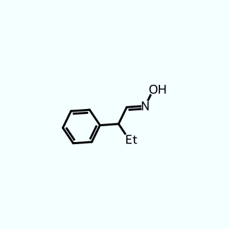 CCC(C=NO)c1ccccc1